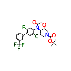 CC(C)(C)OC(=O)N1CCC2C(C1)OCC(=O)N2c1cc(F)c(-c2cccc(C(F)(F)F)c2)cc1Cl